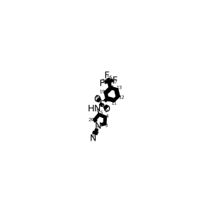 N#CN1CC[C@@H](NS(=O)(=O)c2cccc(C(F)(F)F)c2)C1